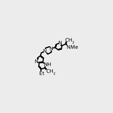 C=C1Nc2cc(CN3CCN(c4ccc(C(=C)NC)nc4)CC3)cnc2C=C1CC